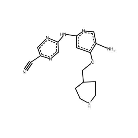 N#Cc1cnc(Nc2cc(OCC3CCNCC3)c(N)cn2)cn1